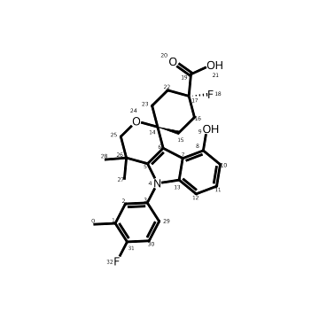 Cc1cc(-n2c3c(c4c(O)cccc42)[C@]2(CC[C@](F)(C(=O)O)CC2)OCC3(C)C)ccc1F